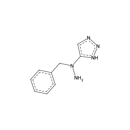 NN(Cc1ccccc1)c1cnn[nH]1